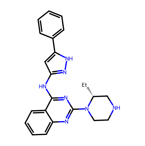 CC[C@@H]1CNCCN1c1nc(Nc2cc(-c3ccccc3)[nH]n2)c2ccccc2n1